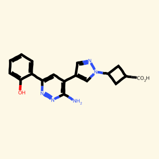 Nc1nnc(-c2ccccc2O)cc1-c1cnn(C2CC(C(=O)O)C2)c1